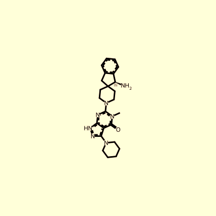 Cn1c(N2CCC3(CC2)Cc2ccccc2[C@H]3N)nc2[nH]nc(N3CCCCC3)c2c1=O